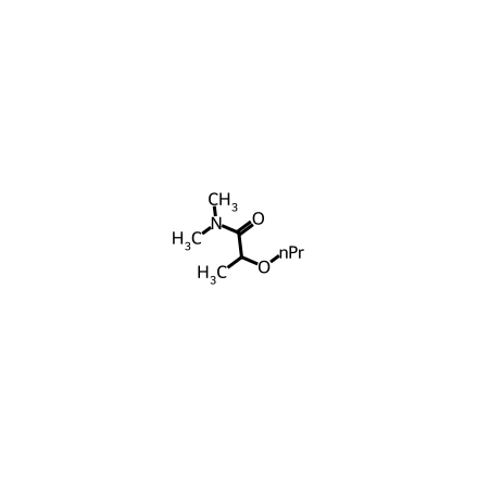 CCCOC(C)C(=O)N(C)C